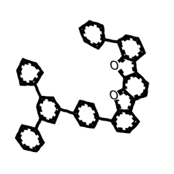 c1ccc(-c2cc(-c3ccccc3)cc(-c3ccc(-c4cccc5c4oc4c5ccc5c6cccc(-c7ccccc7)c6oc54)cc3)c2)cc1